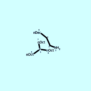 CCCCCCCCCCCCN.CCCCCCCCP(CCCCCCCC)CCCCCCCC